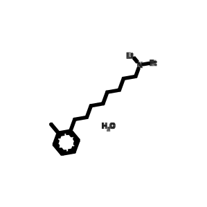 CCN(CC)CCCCCCCCc1ccccc1C.O